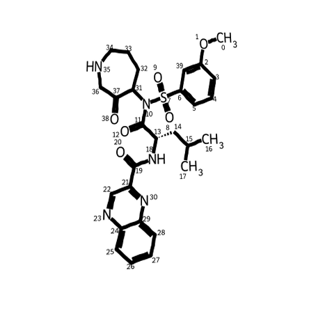 COc1cccc(S(=O)(=O)N(C(=O)[C@H](CC(C)C)NC(=O)c2cnc3ccccc3n2)C2CCCNCC2=O)c1